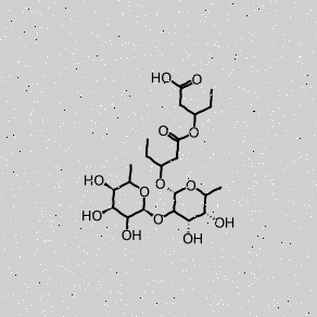 CCC(CC(=O)O)OC(=O)CC(CC)O[C@@H]1OC(C)[C@H](O)[C@H](O)C1O[C@@H]1OC(C)[C@H](O)[C@H](O)C1O